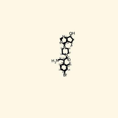 C[C@@H]1C[C@H](O)c2ncnc(N3CCN(C(=O)C(CN)c4ccc(Br)cc4F)CC3)c21